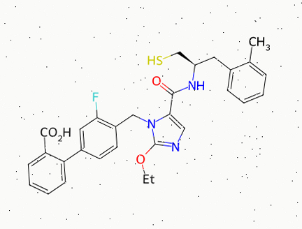 CCOc1ncc(C(=O)N[C@@H](CS)Cc2ccccc2C)n1Cc1ccc(-c2ccccc2C(=O)O)cc1F